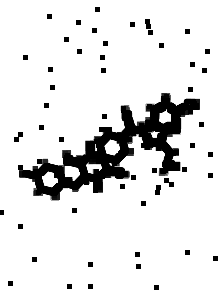 CN1CCN(CC2NC(=O)C3(CCN(C(=O)n4cc(CC(C)(C)C)c5nc(C#N)ncc54)CC3)NC2=O)CC1